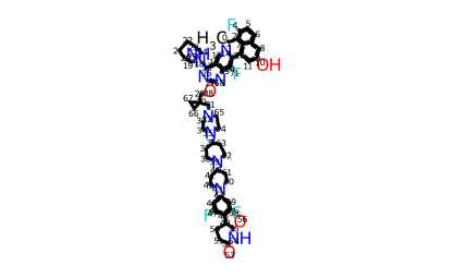 CCc1c(F)ccc2cc(O)cc(-c3ncc4c(N5CC6CCC(C5)N6)nc(OCC5(CN6CCN(C7CCN(C8CCN(c9cc(F)c(C%10CCC(=O)NC%10=O)c(F)c9)CC8)CC7)CC6)CC5)nc4c3F)c12